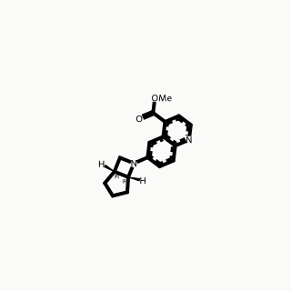 COC(=O)c1ccnc2ccc(N3C[C@H]4CCC[C@H]43)cc12